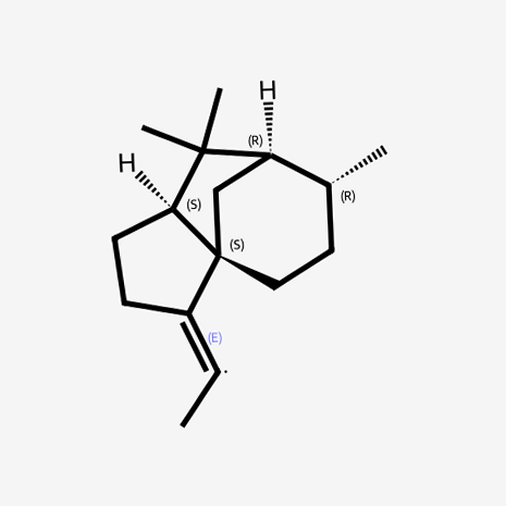 C/[C]=C1\CC[C@H]2C(C)(C)[C@@H]3C[C@]12CC[C@H]3C